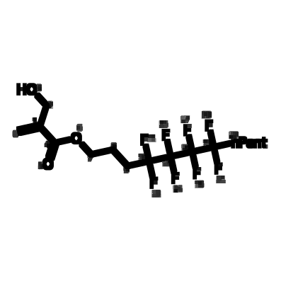 C=C(CO)C(=O)OCCCC(F)(F)C(F)(F)C(F)(F)C(F)(F)CCCCC